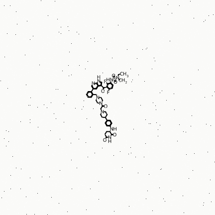 CCN(C)S(=O)(=O)Nc1ccc(F)c(C(=O)c2c[nH]c3ncc(-c4ccccc4CN4CCN(C(=O)CN5CCC(c6ccc(NC7CCC(=O)NC7=O)cc6)CC5)CC4)cc23)c1F